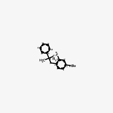 CC(C)(C)c1ccc(CC(C)(C)c2ccccc2)c(F)c1